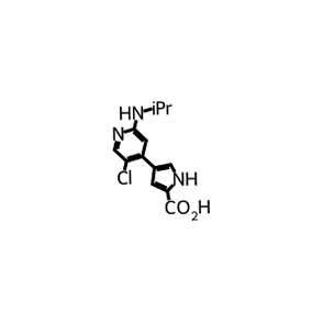 CC(C)Nc1cc(-c2c[nH]c(C(=O)O)c2)c(Cl)cn1